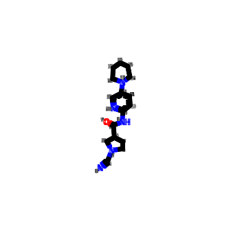 N#CN1CCC(C(=O)Nc2ccc(N3CCCCC3)cn2)C1